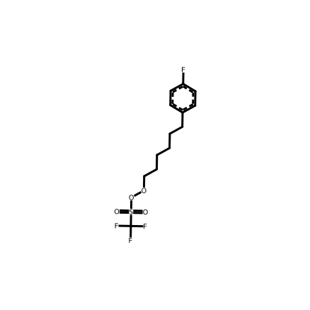 O=S(=O)(OOCCCCCCc1ccc(F)cc1)C(F)(F)F